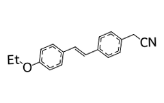 CCOc1ccc(C=Cc2ccc(CC#N)cc2)cc1